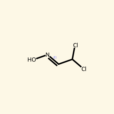 O/N=C/C(Cl)Cl